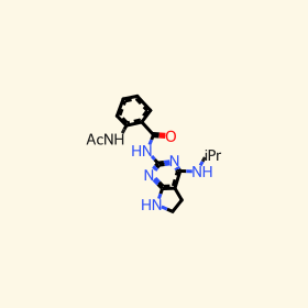 CC(=O)Nc1ccccc1C(=O)Nc1nc2c(c(NC(C)C)n1)CCN2